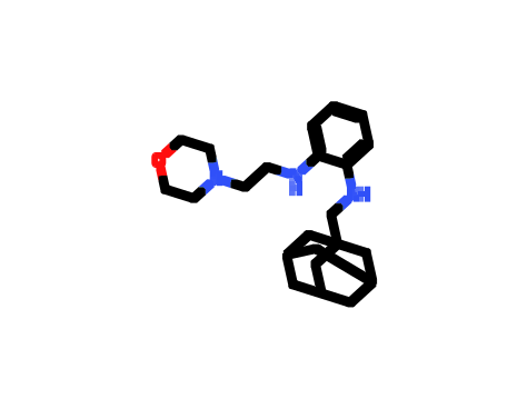 c1ccc(NCC23CC4CC(CC(C4)C2)C3)c(NCCN2CCOCC2)c1